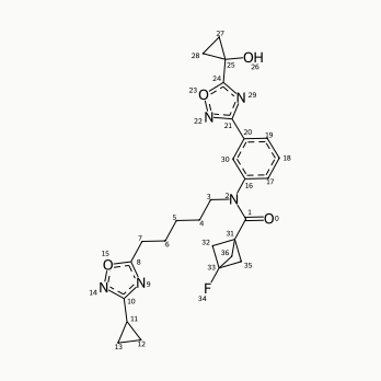 O=C(N(CCCCCc1nc(C2CC2)no1)c1cccc(-c2noc(C3(O)CC3)n2)c1)C12CC(F)(C1)C2